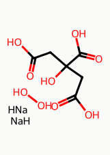 O=C(O)CC(O)(CC(=O)O)C(=O)O.OO.[NaH].[NaH]